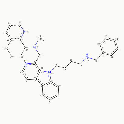 CN(Cc1nccc2c3ccccc3n(CCCCNCc3ccccc3)c12)C1CCCc2cccnc21